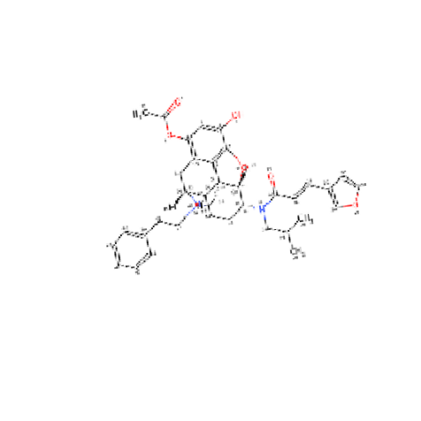 CC(=O)Oc1cc(O)c2c3c1C[C@@H]1[C@@H]4CC[C@@H](N(CC(C)C)C(=O)C=Cc5ccoc5)[C@@H](O2)[C@]34CCN1CCc1ccccc1